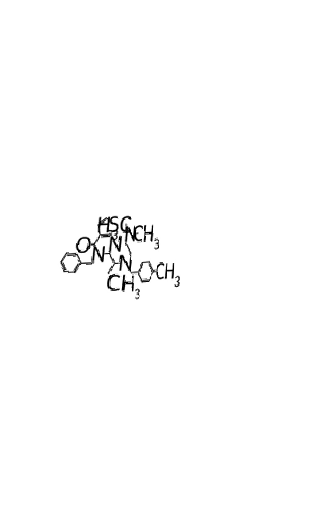 CCC(c1nc2sccc2c(=O)n1Cc1ccccc1)N(CCN(C)C)Cc1ccc(C)cc1